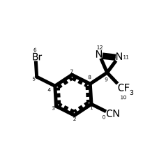 N#Cc1ccc(CBr)cc1C1(C(F)(F)F)N=N1